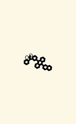 c1ccc2cc(-c3c4ccccc4c(-c4ccc5oc6oc7ccccc7c6c5c4)c4ccccc34)ccc2c1